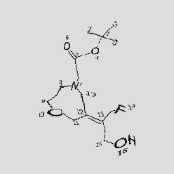 CC(C)(C)OC(=O)N1CCOCC(=C(F)CO)C1